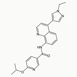 CCn1cc(-c2ccnc3c(NC(=O)c4ccc(OC(C)C)nc4)cccc23)cn1